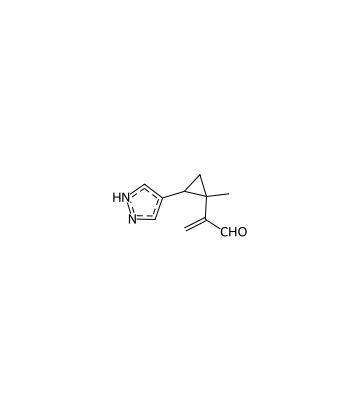 C=C(C=O)C1(C)CC1c1cn[nH]c1